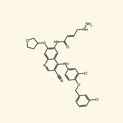 N#Cc1cnc2cc(OC3CCOC3)c(NC(=O)/C=C/CNN)cc2c1Nc1ccc(OCc2cccc(Cl)c2)c(Cl)c1